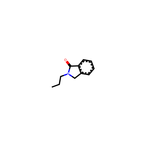 CCCN1Cc2ccccc2C1=O